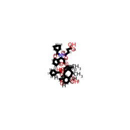 CC1=C2[C@@H](C)C(=O)[C@@]3(C)[C@H]([C@H](OC(=O)c4ccccc4)[C@](O)(C[C@@H]1OC(=O)[C@H](OC(=O)CCC(=O)O)[C@@H](NC(=O)c1ccccc1)c1ccccc1)C2(C)C)[C@]1(C)CO[C@@H]1C[C@@H]3O